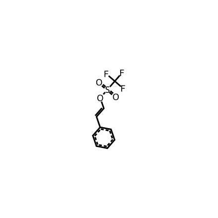 O=S(=O)(OC=Cc1ccccc1)C(F)(F)F